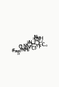 C=C=Cc1c(F)c(Cl)c(-c2cn3cc(NC(=O)[C@@H]4C[C@@H]4F)nc3cn2)c2cn[nH]c12